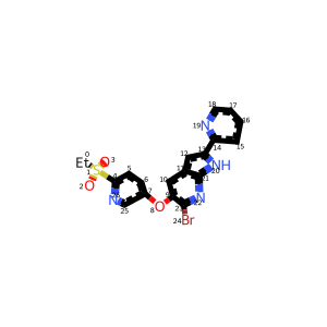 CCS(=O)(=O)c1ccc(Oc2cc3cc(-c4ccccn4)[nH]c3nc2Br)cn1